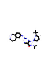 CC(C)n1c(=O)c2cnc(Nc3ccc4c(c3)CCCNC4)nc2n1-c1cccc(C(C)(C)C)n1